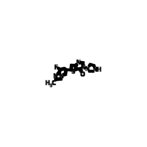 Cc1cn2cc(-c3cc4ncn(N5CCNCC5)c(=O)c4s3)cc(F)c2n1